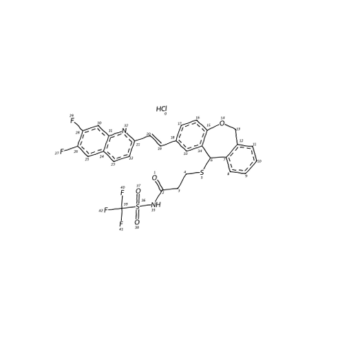 Cl.O=C(CCSC1c2ccccc2COc2ccc(/C=C/c3ccc4cc(F)c(F)cc4n3)cc21)NS(=O)(=O)C(F)(F)F